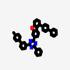 Cc1ccc(-c2cccc(-c3nc(-c4ccccc4)nc(-c4ccc5c(c4)oc4cccc(-c6ccc(-c7ccccc7)cc6)c45)n3)c2)cc1